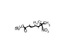 CC(C)(C)OC(=O)/C=C/CCC(C)(C)[N+](=O)[O-]